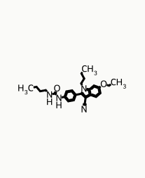 CCCCNC(=O)Nc1ccc(-c2c(C#N)c3ccc(OCC)cc3n2CCCC)cc1